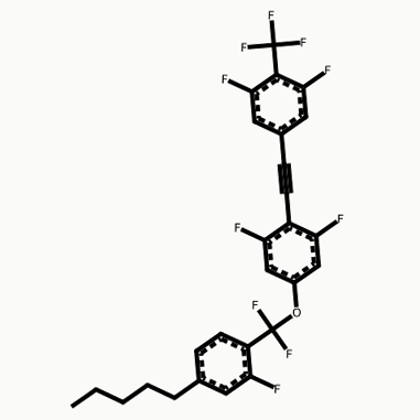 CCCCCc1ccc(C(F)(F)Oc2cc(F)c(C#Cc3cc(F)c(C(F)(F)F)c(F)c3)c(F)c2)c(F)c1